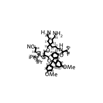 COc1ccc(C(OCC(COCC(CCCN)(CCCN)CCCNC(=O)C(F)=S)OP(OCCC#N)N(C(C)C)C(C)C)(c2ccccc2)c2ccc(OC)cc2)cc1